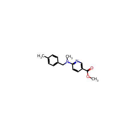 COC(=O)c1ccc(N(C)Cc2ccc(C)cc2)nc1